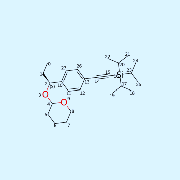 CC[C@H](OC1CCCCO1)c1ccc(C#C[Si](C(C)C)(C(C)C)C(C)C)cc1